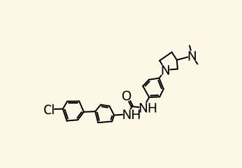 CN(C)C1CCN(c2ccc(NC(=O)Nc3ccc(-c4ccc(Cl)cc4)cc3)cc2)C1